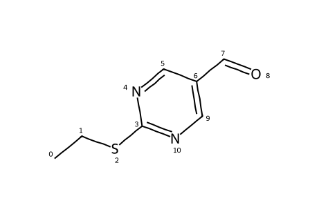 CCSc1ncc(C=O)cn1